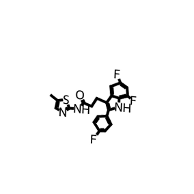 Cc1cnc(NC(=O)CCc2c(-c3ccc(F)cc3)[nH]c3c(F)cc(F)cc23)s1